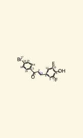 O=C(/C=C/c1cc(F)c(O)c(F)c1)c1ccc(Br)cc1